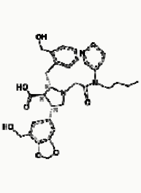 CCCCN(C(=O)CN1C[C@H](c2cc(CO)c3c(c2)OCO3)[C@@H](C(=O)O)[C@@H]1Cc1ccccc1CO)c1cccnc1